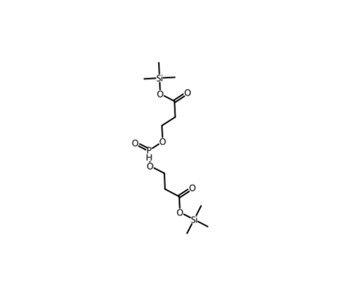 C[Si](C)(C)OC(=O)CCO[PH](=O)OCCC(=O)O[Si](C)(C)C